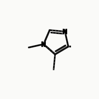 Cc1[c]ncn1C